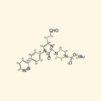 CC(C)(C)OC(=O)N1CCN(c2nc(CCC=O)cn(-c3ccc(-c4cccnn4)cc3)c2=O)CC1